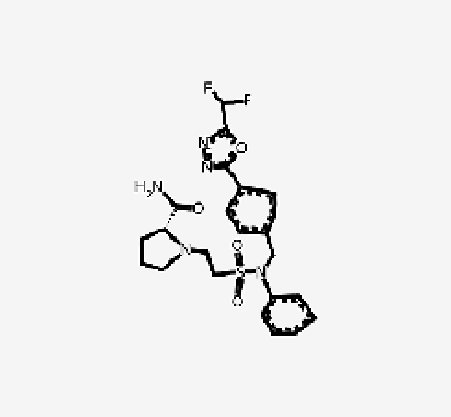 NC(=O)[C@H]1CCCN1CCS(=O)(=O)N(Cc1ccc(-c2nnc(C(F)F)o2)cc1)c1ccccc1